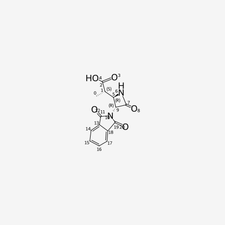 C[C@H](C(=O)O)[C@H]1NC(=O)[C@@H]1N1C(=O)c2ccccc2C1=O